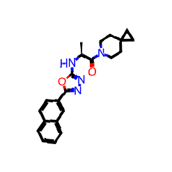 C[C@H](Nc1nnc(-c2ccc3ccccc3c2)o1)C(=O)N1CCC2(CC1)CC2